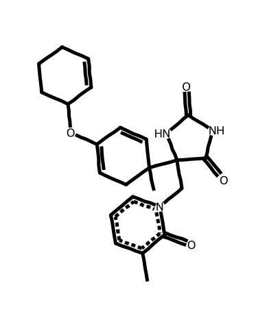 Cc1cccn(CC2(C3(C)C=CC(OC4C=CCCC4)=CC3)NC(=O)NC2=O)c1=O